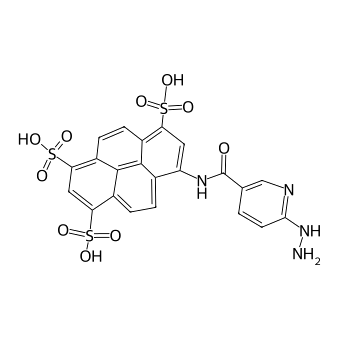 NNc1ccc(C(=O)Nc2cc(S(=O)(=O)O)c3ccc4c(S(=O)(=O)O)cc(S(=O)(=O)O)c5ccc2c3c54)cn1